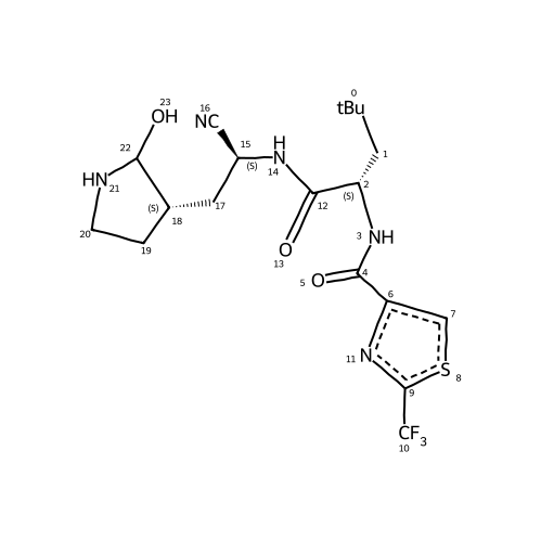 CC(C)(C)C[C@H](NC(=O)c1csc(C(F)(F)F)n1)C(=O)N[C@H](C#N)C[C@@H]1CCNC1O